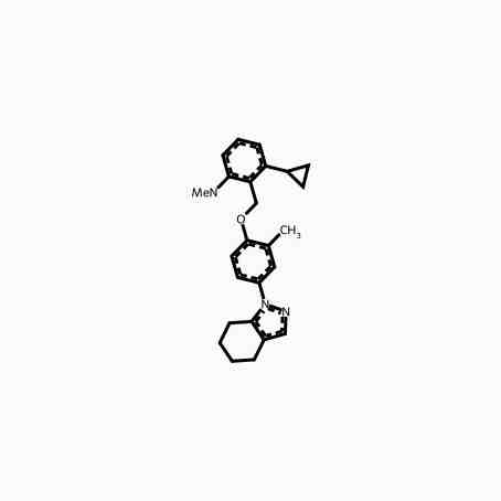 CNc1cccc(C2CC2)c1COc1ccc(-n2ncc3c2CCCC3)cc1C